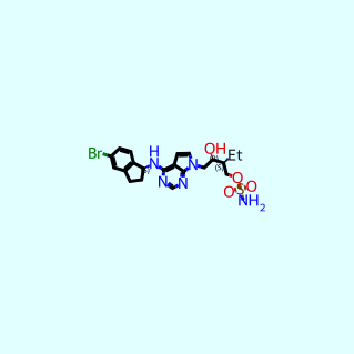 CC[C@@H](COS(N)(=O)=O)[C@@H](O)Cn1ccc2c(N[C@H]3CCc4cc(Br)ccc43)ncnc21